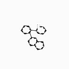 c1ccc(-c2ccccc2-c2ccc3ccccc3c2)nc1